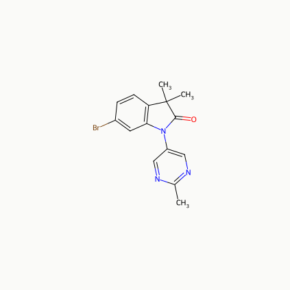 Cc1ncc(N2C(=O)C(C)(C)c3ccc(Br)cc32)cn1